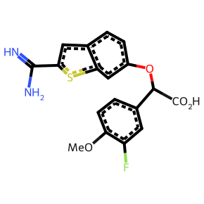 COc1ccc(C(Oc2ccc3cc(C(=N)N)sc3c2)C(=O)O)cc1F